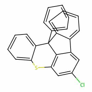 Clc1cc2c3c(c1)-c1ccccc1C3(c1ccccc1)c1ccccc1S2